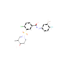 CC1CN(S(=O)(=O)c2cc(C(=O)Nc3ccc(F)c(Br)c3)ccc2Cl)CCC1O